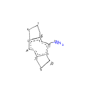 Nc1c2c(cc3c1CC3)CC2